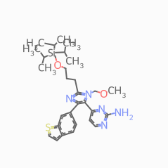 COCn1c(CCCO[Si](C(C)C)(C(C)C)C(C)C)nc(-c2ccc3ccsc3c2)c1-c1ccnc(N)n1